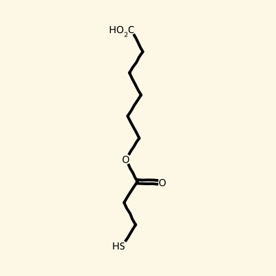 O=C(O)CCCCCOC(=O)CCS